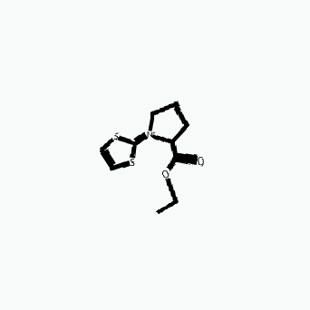 CCOC(=O)C1CCC[N+]1=c1sccs1